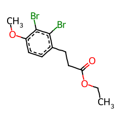 CCOC(=O)CCc1ccc(OC)c(Br)c1Br